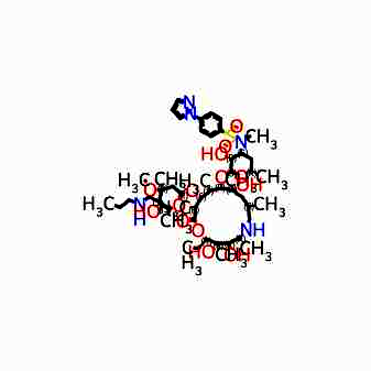 CCCNC[C@]1(O)[C@H](C)O[C@@H](O[C@H]2[C@H](C)[C@@H](O[C@@H]3O[C@H](C)C[C@H](N(C)S(=O)(=O)c4ccc(-n5cccn5)cc4)[C@H]3O)[C@](C)(O)C[C@@H](C)CN[C@H](C)[C@@H](O)[C@](C)(O)[C@@H](CC)OC(=O)[C@@H]2C)C[C@@]1(C)OC